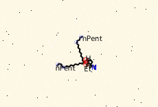 CCCCC/C=C\C/C=C\CCCCCCCCC1(CCCCCCCC/C=C\C/C=C\CCCCC)O[C@@H]2C([C@H](CC)N(C)C)CC[C@H]2O1